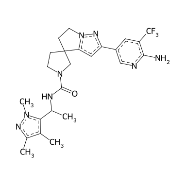 Cc1nn(C)c(C(C)NC(=O)N2CCC3(CCn4nc(-c5cnc(N)c(C(F)(F)F)c5)cc43)C2)c1C